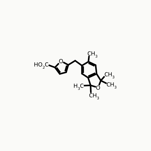 Cc1cc2c(cc1Cc1ccc(C(=O)O)o1)C(C)(C)OC2(C)C